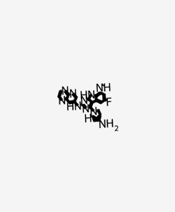 CNc1cc(F)cc2c1[nH]c1nc(Nc3cnc4nccnc4c3)nc(N3CC4C[C@@H]3C[C@H]4N)c12